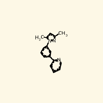 Cc1cc(C)n(-c2cccc(-c3ccccn3)c2)n1